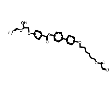 C=COC(O)COc1ccc(C(=O)Sc2ccc(-c3ccc(OCCCCCCOC(=O)C=C)cc3)cc2)cc1